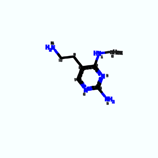 CCCCCCNc1nc(N)ncc1CCN